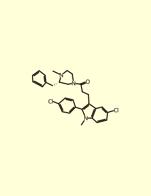 CN1CCN(C(=O)CCc2c(-c3ccc(Cl)cc3)n(C)c3ccc(Cl)cc23)C[C@@H]1Cc1ccccc1